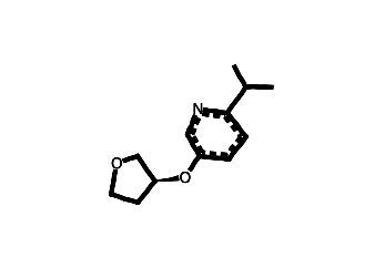 CC(C)c1ccc(O[C@H]2CCOC2)cn1